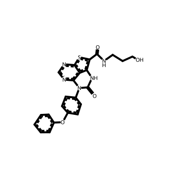 O=C(NCCCO)c1sc2ncnc3c2c1NC(=O)N3c1ccc(Oc2ccccc2)cc1